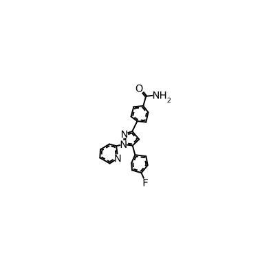 NC(=O)c1ccc(-c2cc(-c3ccc(F)cc3)n(-c3ccccn3)n2)cc1